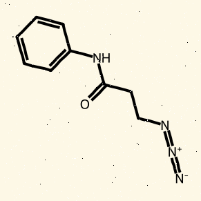 [N-]=[N+]=NCCC(=O)Nc1cc[c]cc1